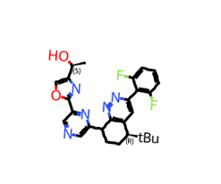 C[C@H](O)c1coc(-c2cncc(C3CC[C@H](C(C)(C)C)c4cc(-c5c(F)cccc5F)nnc43)n2)n1